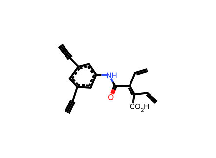 C#Cc1cc(C#C)cc(NC(=O)/C(C=C)=C(/C=C)C(=O)O)c1